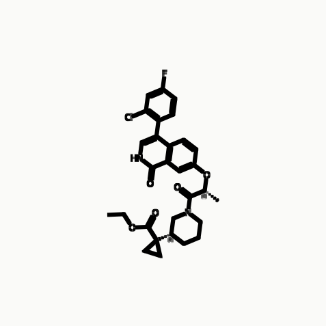 CCOC(=O)C1([C@H]2CCCN(C(=O)[C@@H](C)Oc3ccc4c(-c5ccc(F)cc5Cl)c[nH]c(=O)c4c3)C2)CC1